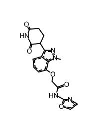 Cn1nc(C2CCC(=O)NC2=O)c2cccc(OCC(=O)Nc3ncco3)c21